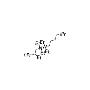 CCCC(CC)C[N+](CC)(CC)[N+](CC)(CC)CCCCC(C)C